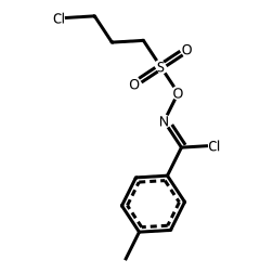 Cc1ccc(/C(Cl)=N/OS(=O)(=O)CCCCl)cc1